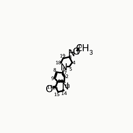 CON=C1CCN(c2ccc3c(c2)N=CCC3=O)CC1